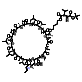 C/C=C/C[C@@H](C)[C@@H](O)[C@H]1C(=O)N[C@@H](CC)C(=O)N(C)CC(=O)N(C)[C@@H]([C@@H](C)OCCCCOC(=O)[C@H](NC(=O)OC(C)(C)C)C(C)C)C(=O)N[C@@H](C(C)C)C(=O)N(C)[C@@H](CC(C)C)C(=O)N[C@@H](C)C(=O)N[C@H](C)C(=O)N(C)[C@@H](CC(C)C)C(=O)N(C)[C@H](CC(C)C)C(=O)N(C)[C@@H](C(C)C)C(=O)N1C